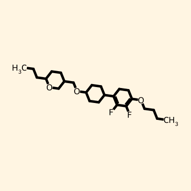 CCCCOC1=C(F)C(F)=C(C2CCC(OCC3CCC(CCC)OC3)CC2)CC1